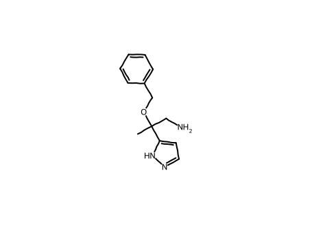 CC(CN)(OCc1ccccc1)c1ccn[nH]1